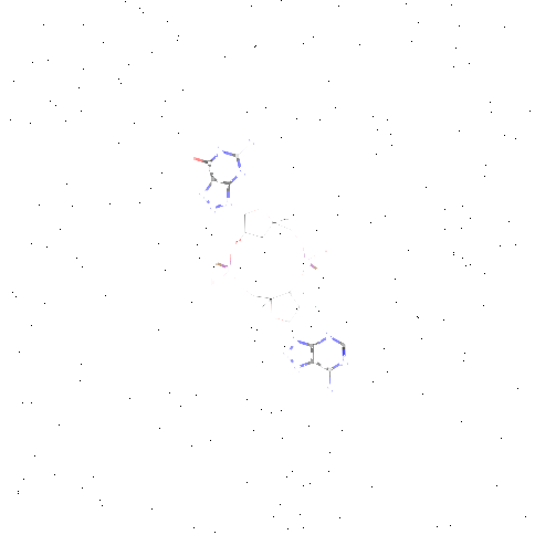 Nc1nc2c(nnn2[C@@H]2O[C@@H]3COP(O)(=S)O[C@H]4[C@H](F)[C@H](n5nnc6c(N)ncnc65)O[C@@H]4COP(O)(=S)O[C@@H]2C3)c(=O)[nH]1